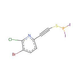 Clc1nc(C#CSP(I)I)ccc1Br